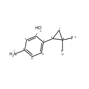 Cl.Nc1ccc(C2CC2(F)F)cc1